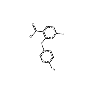 CC(C)c1ccc(Sc2cc(F)ccc2C(=O)Cl)cc1